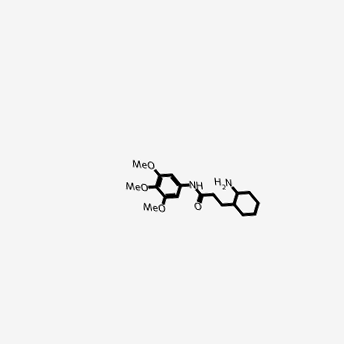 COc1cc(NC(=O)CCC2CCCCC2N)cc(OC)c1OC